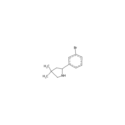 CC1(C)CNC(c2cccc(Br)c2)C1